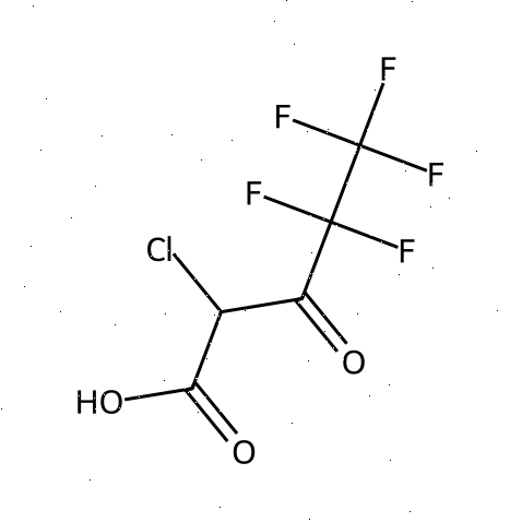 O=C(O)C(Cl)C(=O)C(F)(F)C(F)(F)F